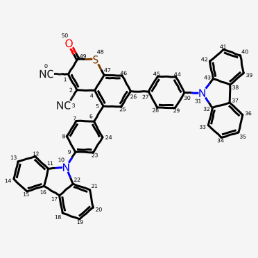 N#Cc1c(C#N)c2c(-c3ccc(-n4c5ccccc5c5ccccc54)cc3)cc(-c3ccc(-n4c5ccccc5c5ccccc54)cc3)cc2sc1=O